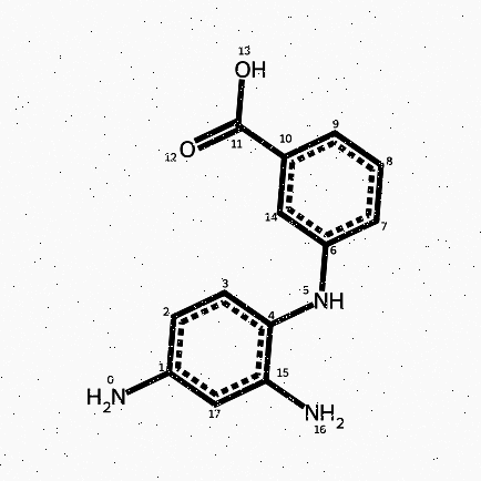 Nc1ccc(Nc2cccc(C(=O)O)c2)c(N)c1